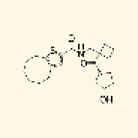 O=C(NCC1(C(=O)N2CCC(O)C2)CCC1)c1cc2c(s1)CCCCCC2